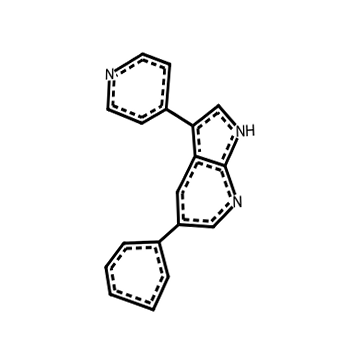 c1ccc(-c2cnc3[nH]cc(-c4ccncc4)c3c2)cc1